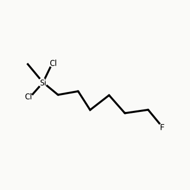 C[Si](Cl)(Cl)CCCCCCF